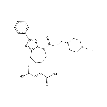 CN1CCN(CCC(=O)N2CCCCc3nc(-c4ccccc4)sc32)CC1.O=C(O)C=CC(=O)O